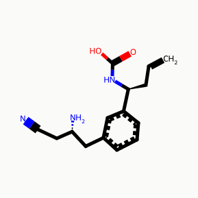 C=CC[C@H](NC(=O)O)c1cccc(C[C@@H](N)CC#N)c1